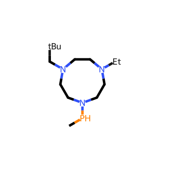 CCN1CCN(CC(C)(C)C)CCN(PC)CC1